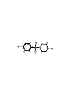 CN1[CH]CN(S(=O)(=O)c2ccc(F)cc2)CC1